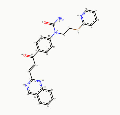 NC(=O)N(CCSc1ccccn1)c1ccc(C(=O)C=Cc2ncc3ccccc3n2)cc1